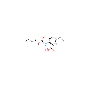 CCCCOC(=O)Nc1ccc(CC)cc1C(=O)O